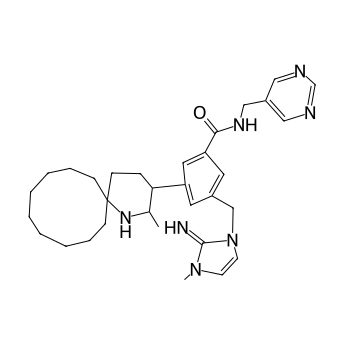 CC1NC2(CCCCCCCCC2)CCC1c1cc(Cn2ccn(C)c2=N)cc(C(=O)NCc2cncnc2)c1